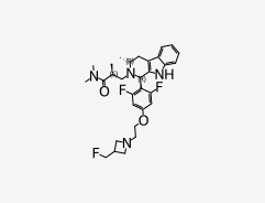 C[C@@H]1Cc2c([nH]c3ccccc23)[C@@H](c2c(F)cc(OCCN3CC(CF)C3)cc2F)N1C[C@H](C)C(=O)N(C)C